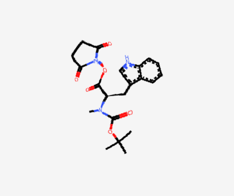 CN(C(=O)OC(C)(C)C)[C@H](Cc1c[nH]c2ccccc12)C(=O)ON1C(=O)CCC1=O